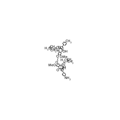 CC[C@@]12CC(c3ccc(N)cc3)=CN1C(=O)c1cc(OC)c(OCCCOc3cc4c(cc3OC)C(O)N3C=C(c5ccc(C)cc5)C[C@H]3C(=O)N4COCC[Si](C)(C)C)cc1N(COCC[Si](C)(C)C)C2=O